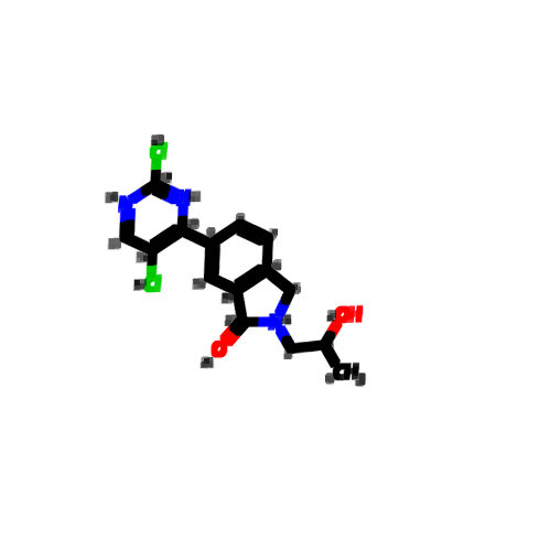 CC(O)CN1Cc2ccc(-c3nc(Cl)ncc3Cl)cc2C1=O